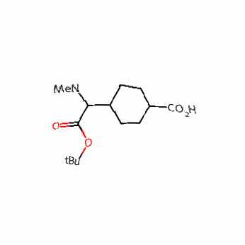 CNC(C(=O)OC(C)(C)C)C1CCC(C(=O)O)CC1